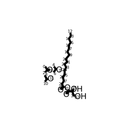 CC(C)=O.CC(C)=O.CC(C)=O.CCCCCCCCCCCCCCCCCC(=O)OC(=O)C(O)CO